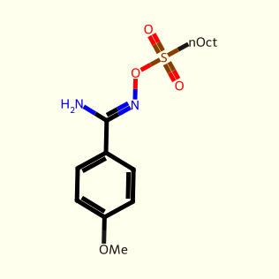 CCCCCCCCS(=O)(=O)O/N=C(\N)c1ccc(OC)cc1